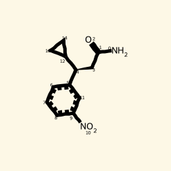 NC(=O)C[C@@H](c1cccc([N+](=O)[O-])c1)C1CC1